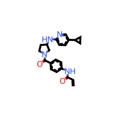 C=CC(=O)Nc1ccc(C(=O)N2CCC(Nc3ccc(C4CC4)cn3)C2)cc1